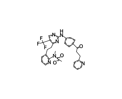 CN(c1ncccc1CCc1nc(Nc2ccc(C(=O)CCc3ccccn3)cc2)ncc1C(F)(F)F)S(C)(=O)=O